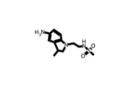 CC1CN(CCNS(C)(=O)=O)c2ccc(N)cc21